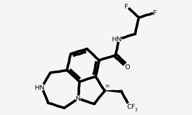 O=C(NCC(F)F)c1ccc2c3c1[C@@H](CC(F)(F)F)CN3CCNC2